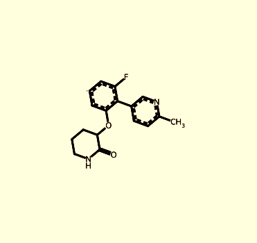 Cc1ccc(-c2c(F)c[c]cc2OC2CCCNC2=O)cn1